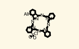 O=S(=O)(Cl)c1cccc2c3nc4nc(nc5[nH]c(nc6nc(nc([nH]3)c12)-c1ccccc1-6)c1ccccc51)-c1ccccc1-4.[AlH3]